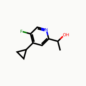 CC(O)c1cc(C2CC2)c(F)cn1